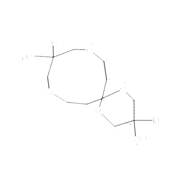 CCCCC1(CC)COCCC2(CCOC1)OCC(CC)(CCCC)CO2